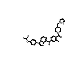 Cc1cc(Nc2nccn3c(-c4ccc(OC(F)F)cc4)cnc23)ccc1C(=O)N1CCC(Cn2cccn2)CC1